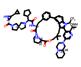 CO[C@@H](C)c1ncc(N2CCN3CCCC[C@@H]3C2)cc1-c1c2c3cc(ccc3n1CC(F)(F)F)-c1cccc(c1)C[C@H](NC(=O)C(C1CCCC1)N1CC[C@]3(CCN(C(=O)[C@@H]4NC4C4CC4)C3)C1)C(=O)N1CCC[C@H](N1)C(=O)OCC(C)(C)C2